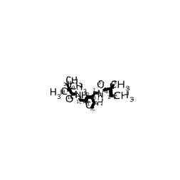 CCC(C)C(=O)NCc1cccc(CNC(=O)C(C)(C)CC)c1